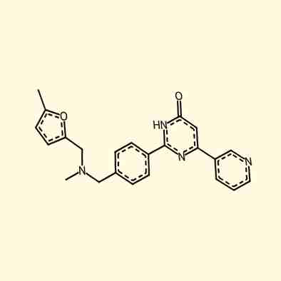 Cc1ccc(CN(C)Cc2ccc(-c3nc(-c4cccnc4)cc(=O)[nH]3)cc2)o1